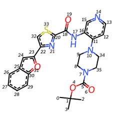 CC(C)(C)OC(=O)N1CCN(c2ccncc2NC(=O)c2nc(-c3cc4ccccc4o3)cs2)CC1